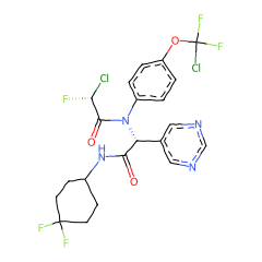 O=C(NC1CCC(F)(F)CC1)[C@@H](c1cncnc1)N(C(=O)[C@H](F)Cl)c1ccc(OC(F)(F)Cl)cc1